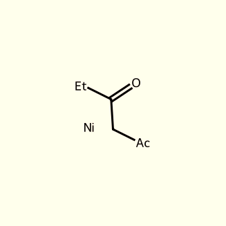 CCC(=O)CC(C)=O.[Ni]